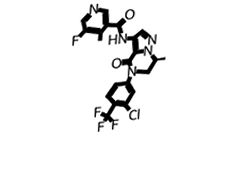 Cc1c(F)cncc1C(=O)Nc1cnn2c1C(=O)N(c1ccc(C(F)(F)F)c(Cl)c1)C[C@@H]2C